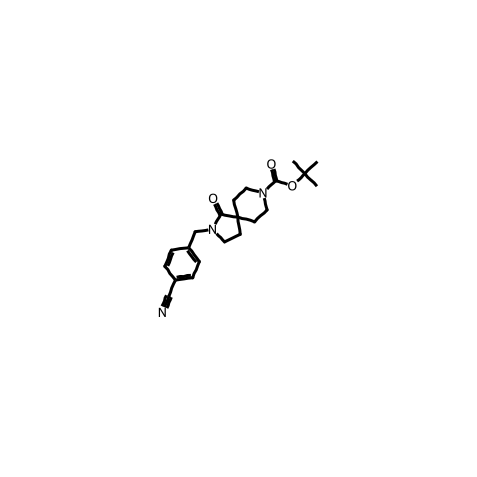 CC(C)(C)OC(=O)N1CCC2(CC1)CCN(Cc1ccc(C#N)cc1)C2=O